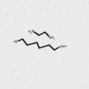 CCCCCCCCCCCCS.NCCN